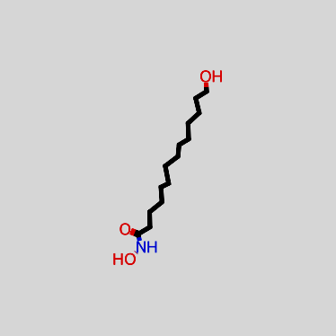 O=C(CCCCCCCCCCCCCO)NO